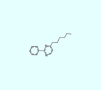 CCCCCCc1ccnc(-c2ccccc2)n1